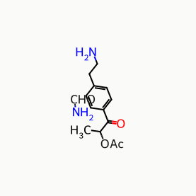 CC(=O)OC(C)C(=O)c1ccc(CCN)cc1.NC=O